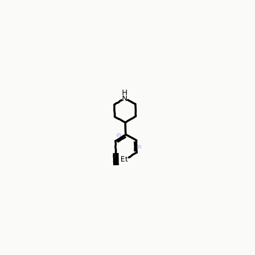 C#C/C=C(\C=C/CC)C1CCNCC1